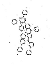 c1ccc(-c2cccc(N(c3cccc(-c4ccccc4)c3)c3ccc4c(c3)C3(c5ccccc5-c5ccccc53)c3cc(-c5nc(-c6ccccc6)nc(-c6ccccc6)n5)ccc3N4c3ccccc3)c2)cc1